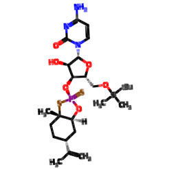 C=C(C)[C@@H]1CC[C@]2(C)S[P@@](=S)(O[C@H]3[C@@H](O)[C@H](n4ccc(N)nc4=O)O[C@@H]3CO[Si](C)(C)C(C)(C)C)O[C@H]2C1